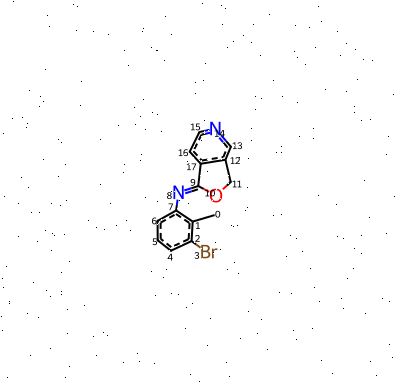 Cc1c(Br)cccc1/N=C1\OCc2cnccc21